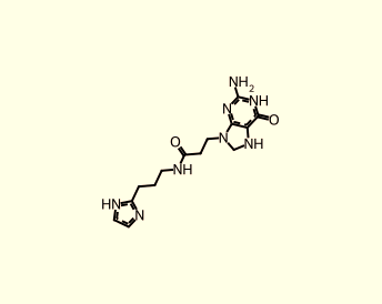 Nc1nc2c(c(=O)[nH]1)NCN2CCC(=O)NCCCc1ncc[nH]1